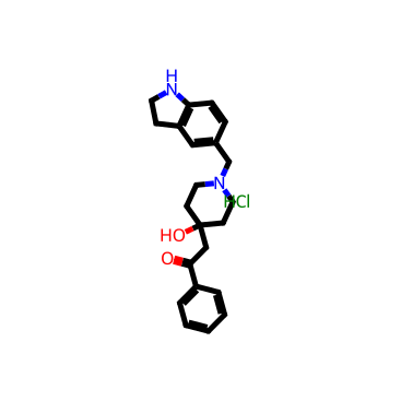 Cl.O=C(CC1(O)CCN(Cc2ccc3c(c2)CCN3)CC1)c1ccccc1